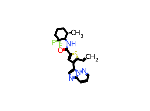 C=Cc1sc(C(=O)NC2[C@H](C)CCCC2(F)F)cc1-c1cnc2cccnn12